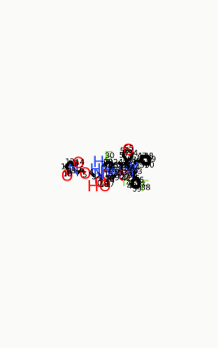 O=C(NCCOCCN1C(=O)C=CC1=O)O[C@@H](CO)CNC(=O)C(C[C@@H]1CNC[C@@H]1F)[C@@H](c1nc(-c2cc(F)ccc2F)cn1Cc1ccccc1)C1CCOCC1